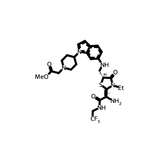 CCN1C(=O)[C@@H](CNc2ccc3ccn(C4CCN(CC(=O)OC)CC4)c3c2)S/C1=C(/N)C(=O)NCC(F)(F)F